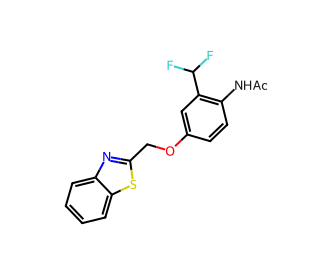 CC(=O)Nc1ccc(OCc2nc3ccccc3s2)cc1C(F)F